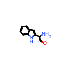 NC([C]=O)c1cc2ccccc2[nH]1